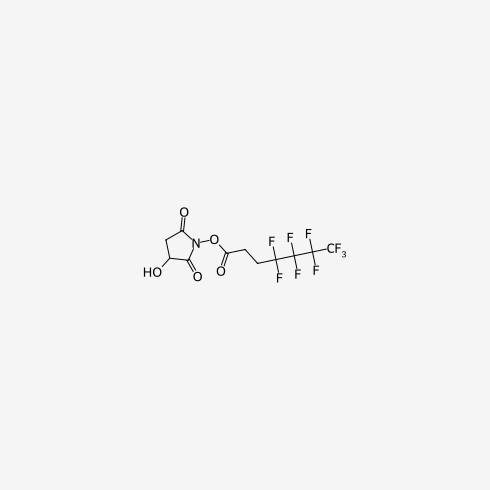 O=C(CCC(F)(F)C(F)(F)C(F)(F)C(F)(F)F)ON1C(=O)CC(O)C1=O